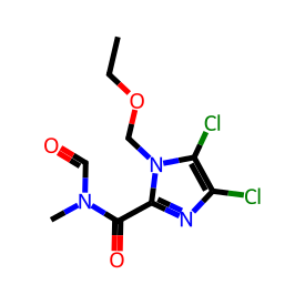 CCOCn1c(C(=O)N(C)C=O)nc(Cl)c1Cl